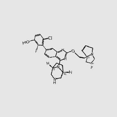 Oc1ccc(Cl)c(-c2ccc3c(N4[C@@H]5CC[C@H]4CNC5)nc(OC[C@@]45CCCN4C[C@H](F)C5)nc3c2)c1F